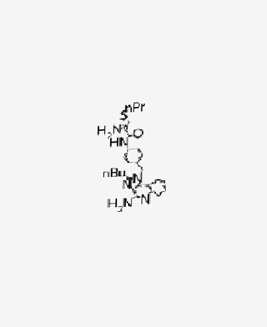 [CH2][CH]CSC[C@H](N)C(=O)Nc1ccc(Cn2c(CCCC)nc3c(N)nc4ccccc4c32)cc1